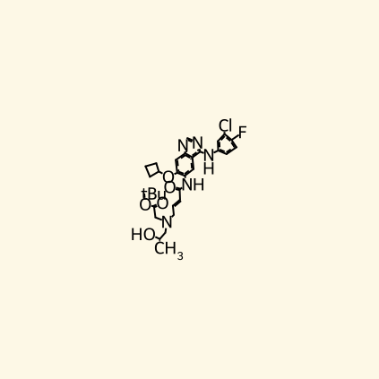 C[C@H](O)CN(CC=CC(=O)Nc1cc2c(Nc3ccc(F)c(Cl)c3)ncnc2cc1OC1CCC1)CC(=O)OC(C)(C)C